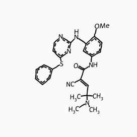 COc1ccc(NC(=O)C(C#N)=CC(C)(C)N(C)C)cc1Nc1nccc(Sc2ccccc2)n1